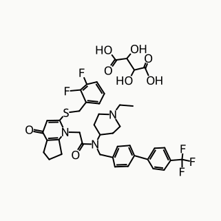 CCN1CCC(N(Cc2ccc(-c3ccc(C(F)(F)F)cc3)cc2)C(=O)Cn2c(SCc3cccc(F)c3F)cc(=O)c3c2CCC3)CC1.O=C(O)C(O)C(O)C(=O)O